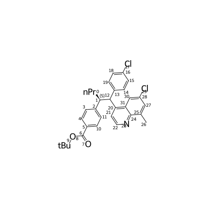 CCC[C@H](c1ccc(C(=O)OC(C)(C)C)cc1)C(c1ccc(Cl)cc1)c1ccnc2c(C)cc(Cl)cc12